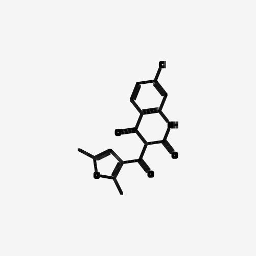 Cc1cc(C(=O)C2C(=O)Nc3cc(Cl)ccc3C2=O)c(C)o1